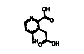 O=C(O)Cc1c(S)ccnc1C(=O)O